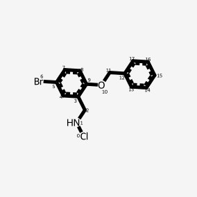 ClNCc1cc(Br)ccc1OCc1ccccc1